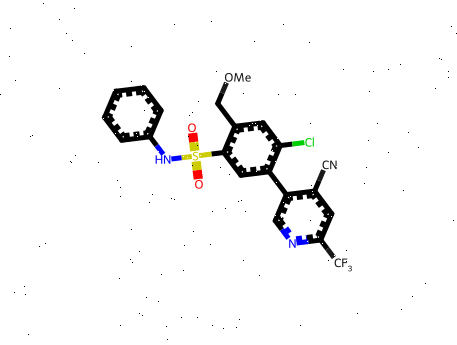 COCc1cc(Cl)c(-c2cnc(C(F)(F)F)cc2C#N)cc1S(=O)(=O)Nc1ccccc1